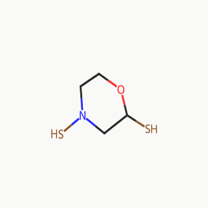 SC1CN(S)CCO1